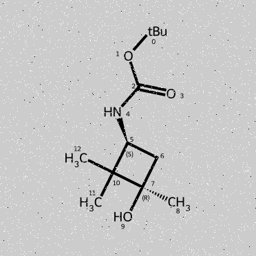 CC(C)(C)OC(=O)N[C@H]1C[C@@](C)(O)C1(C)C